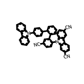 N#Cc1ccc(-n2c3ccc(C#N)cc3c3ccc(C#N)cc32)c(-c2ccccc2-c2ccc(-n3c4ccccc4c4ccccc43)cc2)c1